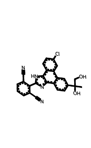 CC(O)(CO)c1ccc2c(c1)c1cc(Cl)ccc1c1[nH]c(-c3c(C#N)cccc3C#N)nc21